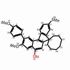 COc1ccc(-c2cc3c4c(cc(O)c3cc2OC)C2(CCCCCCC2)c2cc(SC)ccc2-4)cc1